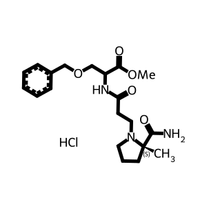 COC(=O)C(COCc1ccccc1)NC(=O)CCN1CCC[C@@]1(C)C(N)=O.Cl